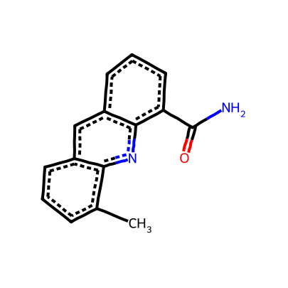 Cc1cccc2cc3cccc(C(N)=O)c3nc12